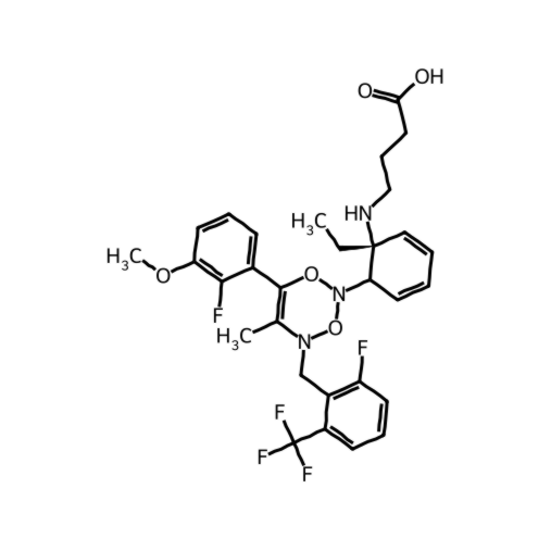 CC[C@@]1(NCCCC(=O)O)C=CC=CC1n1oc(-c2cccc(OC)c2F)c(C)n(Cc2c(F)cccc2C(F)(F)F)o1